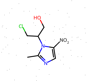 Cc1ncc([N+](=O)[O-])n1C(CO)CCl